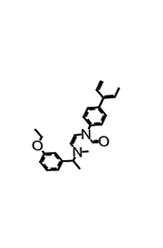 C=C/C(=C\C)c1ccc(N(C=O)/C=C\N(C)C(C)c2cccc(OCC)c2)cc1